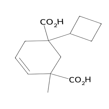 CC1(C(=O)O)C=CCC(C(=O)O)(C2CCC2)C1